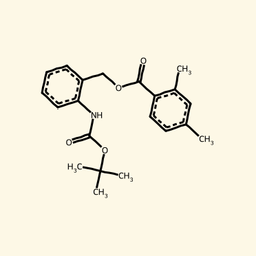 Cc1ccc(C(=O)OCc2ccc[c]c2NC(=O)OC(C)(C)C)c(C)c1